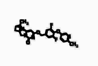 Cc1ccc(Oc2c(F)cc(COc3cc4n(c(=O)n3)CC35CC(C3)C(C)N45)cc2F)cn1